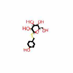 OC[C@H]1O[C@@H](SCc2ccc(O)cc2)[C@H](O)[C@@H](O)[C@@H]1O